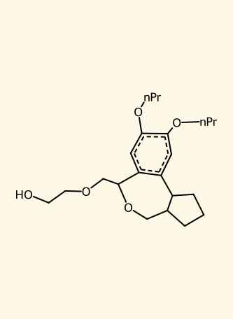 CCCOc1cc2c(cc1OCCC)C1CCCC1COC2COCCO